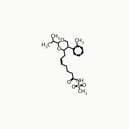 Cc1ccccc1C1COC(C(C)C)OC1C/C=C\CCCC(=O)NS(C)(=O)=O